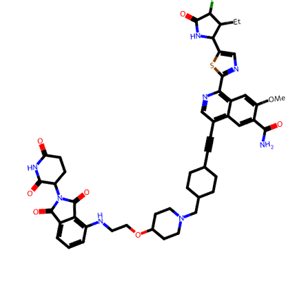 CCC1C(F)C(=O)NC1c1cnc(-c2ncc(C#CC3CCC(CN4CCC(OCCNc5cccc6c5C(=O)N(C5CCC(=O)NC5=O)C6=O)CC4)CC3)c3cc(C(N)=O)c(OC)cc23)s1